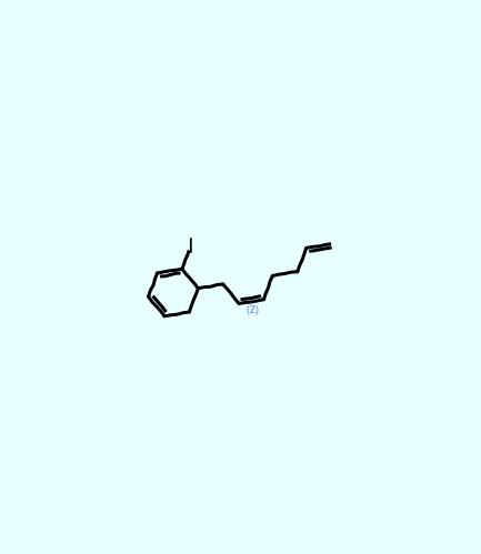 C=CCC/C=C\CC1CC=CC=C1I